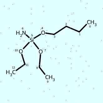 CCCCO[Si](N)(OCC)OCC